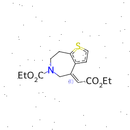 CCOC(=O)/C=C1/CN(C(=O)OCC)CCc2sccc21